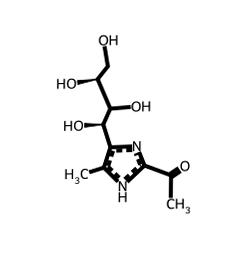 CC(=O)c1nc([C@@H](O)C(O)[C@@H](O)CO)c(C)[nH]1